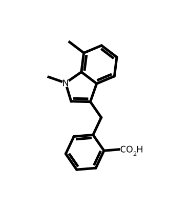 Cc1cccc2c(Cc3ccccc3C(=O)O)cn(C)c12